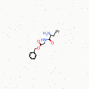 CC(C)CC(N)C(=O)NCC(=O)OCc1ccccc1